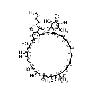 COCCNC(=O)[C@H]1[C@@H]2C[C@@H](O[C@@H]3O[C@H](C)[C@@H](O)[C@H](N)[C@@H]3O)/C=C/C=C/C=C/C=C/C=C/C=C/C=C/[C@H](C)[C@@H](O)[C@@H](C)[C@H](C)OC(=O)C[C@H](O)C[C@H](O)CC[C@@H](O)[C@H](O)C[C@H](O)C[C@](O)(C[C@@H]1O)O2